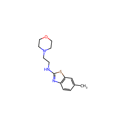 Cc1ccc2nc(NCCN3CCOCC3)sc2c1